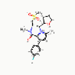 CN(CCS(C)(=O)=O)C(=O)c1c(-c2ccc(F)cc2)cc(C(F)(F)F)n1CC1CCCO1